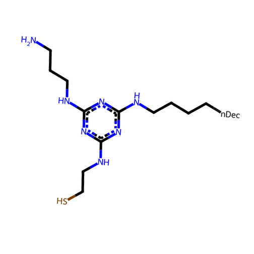 CCCCCCCCCCCCCCNc1nc(NCCS)nc(NCCCN)n1